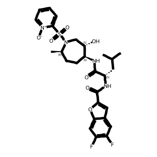 CC(C)C[C@H](NC(=O)c1cc2cc(F)c(F)cc2o1)C(=O)N[C@H]1CC[C@@H](C)N(S(=O)(=O)c2cccc[n+]2[O-])C[C@@H]1O